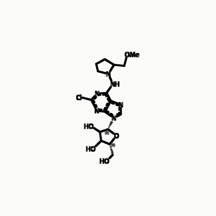 COCC1CCCN1Nc1nc(Cl)nc2c1ncn2[C@@H]1O[C@H](CO)C(O)C1O